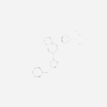 COc1ccc(Cn2cc(-c3cn4nccc4c(-c4cnn([C@H]5CCCC[C@@H]5C)c4)n3)cn2)cc1